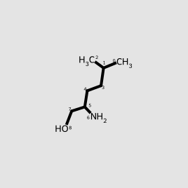 CC(C)CCC(N)CO